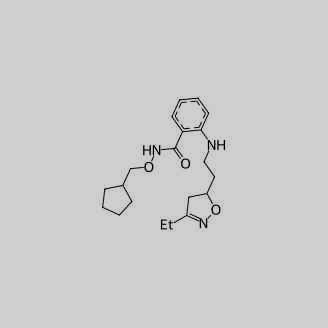 CCC1=NOC(CCNc2ccccc2C(=O)NOCC2CCCC2)C1